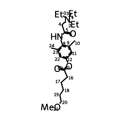 CC[N+](CC)(CC)CC(=O)Nc1c(C)cc(OC(=O)CCCCCOC)cc1C